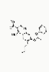 CCCCc1cc2c(O)c(C(=O)OC)cnc2cc1OC(C)Oc1ccccc1